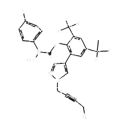 CN(C(=O)Oc1c(-c2cnn(CC#CCN)c2)cc(C(F)(F)F)cc1C(F)(F)F)c1ccc(F)cc1